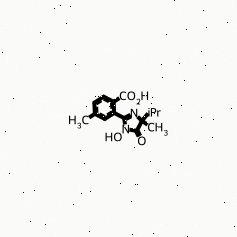 Cc1ccc(C(=O)O)c(C2=NC(C)(C(C)C)C(=O)N2O)c1